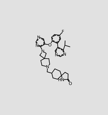 CC(C)c1ncncc1-c1cc(F)ccc1Oc1cncnc1N1CC2(CCN(CC3CCC4(CCC(=O)N4)CC3)CC2)C1